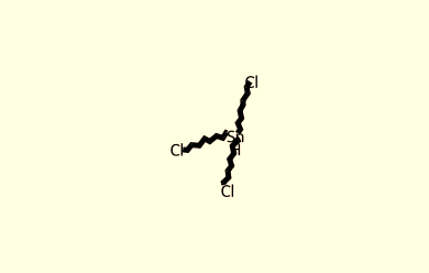 ClCCCCCCC[CH2][SnH]([CH2]CCCCCCCCl)[CH2]CCCCCCCCl